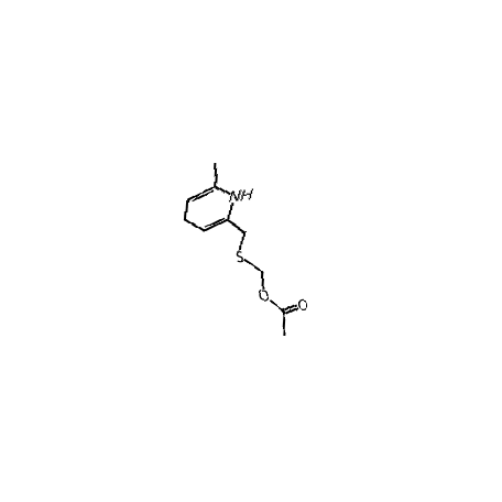 CC(=O)OCSCC1=CCC=C(C)N1